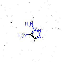 Nc1cnnn1N